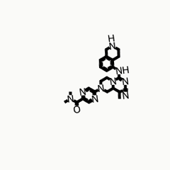 CC(C)C1CN(c2cnc(C(=O)N(C)C)cn2)CCN1/C(=N\C#N)Nc1cccc2c1CCNC2